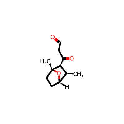 C[C@H]1[C@@H]2CC[C@@](C)(O2)[C@H]1C(=O)CC=O